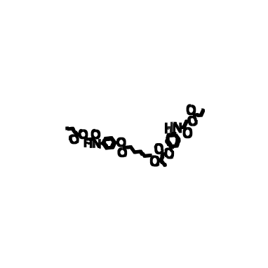 CCC(=O)OCC(=O)Nc1ccc(OC(=O)CCCCCOC(C)C(=O)Oc2ccc(NC(=O)COC(=O)CC)cc2)cc1